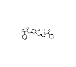 Cc1c(NC(=O)C2(c3ccccc3)CC2)ccc(F)c1CN1CCN(C(=O)C2CCCC2)C(C)C1